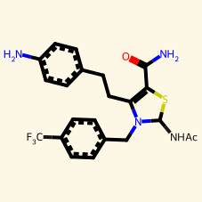 CC(=O)NC1SC(C(N)=O)=C(CCc2ccc(N)cc2)N1Cc1ccc(C(F)(F)F)cc1